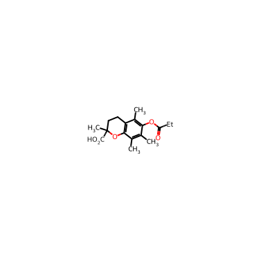 CCC(=O)Oc1c(C)c(C)c2c(c1C)CCC(C)(C(=O)O)O2